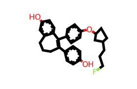 Oc1ccc(C2=C(c3ccc(OC4CCC(CCCF)C4)cc3)c3ccc(O)cc3CCC2)cc1